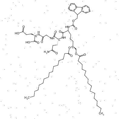 CCCCCCCCCCCCCCCC(=O)OC[C@H](CSCC(NC(=O)OCC1c2ccccc2-c2ccccc21)C(=O)N[C@H](CCC(N)=O)C(=O)NCC(=O)N[C@H](CCC(=O)O)C(=O)O)OC(=O)CCCCCCCCCCCCCCC